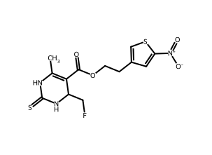 CC1=C(C(=O)OCCc2csc([N+](=O)[O-])c2)C(CF)NC(=S)N1